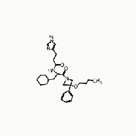 CCCCOC1(c2ccccc2)CN(C(=O)C(CC2CCCCC2)NC(=O)CCc2c[nH]cn2)C1